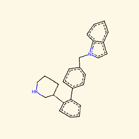 c1ccc(C2CCCNC2)c(-c2ccc(Cn3ccc4ccccc43)cc2)c1